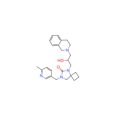 Cc1ccc(CN2CC3(CCC3)N(CC(O)CN3CCc4ccccc4C3)C2=O)cn1